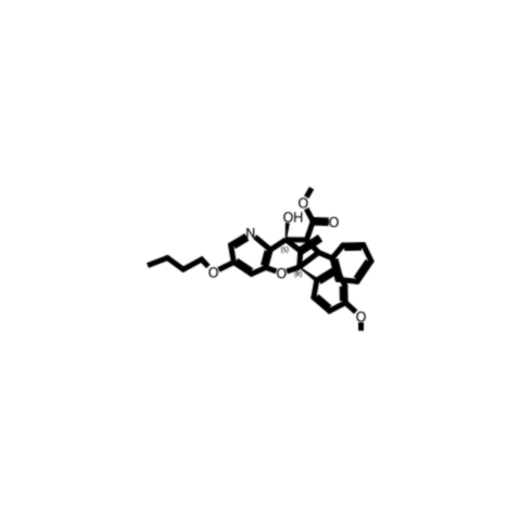 C=C1[C@]2(O)c3ncc(OCCCC)cc3O[C@@]1(c1ccc(OC)cc1)C(c1ccccc1)C2C(=O)OC